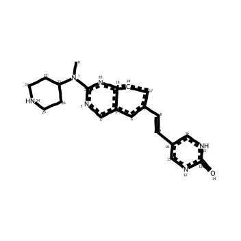 CN(c1ncc2cc(C=Cc3cnc(=O)[nH]c3)ccc2n1)C1CCNCC1